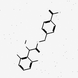 COC(C(=O)NCc1ccc(C(=N)N)cc1)c1c(F)cccc1F